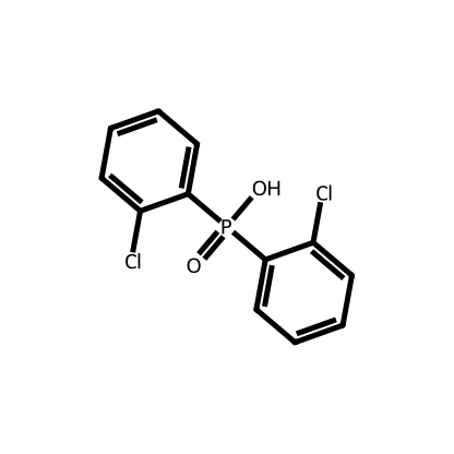 O=P(O)(c1ccccc1Cl)c1ccccc1Cl